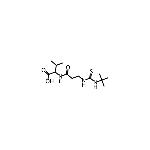 CC(C)C(C(=O)O)N(C)C(=O)CCNC(=S)NC(C)(C)C